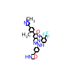 Cc1cc(-c2cnn(C)c2)ccc1-c1cc2cnc(Nc3ccc(C4CNCCO4)cc3)nc2n(Cc2ccccc2C(F)(F)F)c1=O